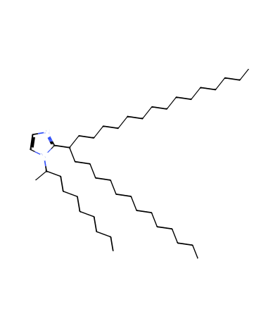 CCCCCCCCCCCCCCCC(CCCCCCCCCCCCC)c1nccn1C(C)CCCCCCCC